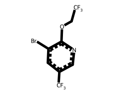 FC(F)(F)COc1ncc(C(F)(F)F)cc1Br